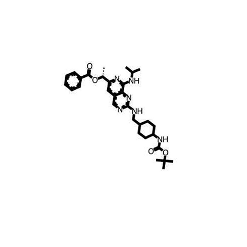 CC(C)Nc1nc([C@@H](C)OC(=O)c2ccccc2)cc2cnc(NCC3CCC(NC(=O)OC(C)(C)C)CC3)nc12